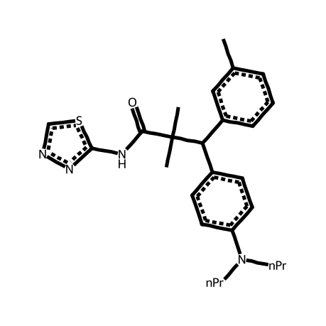 CCCN(CCC)c1ccc(C(c2cccc(C)c2)C(C)(C)C(=O)Nc2nncs2)cc1